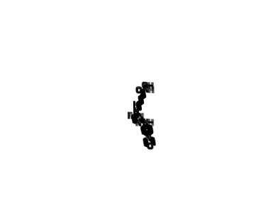 O=C(CCCCCNc1nc(Nc2ccc(N3CCOCC3)cc2)ncc1F)NO